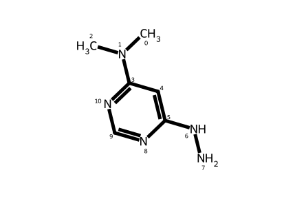 CN(C)c1cc(NN)ncn1